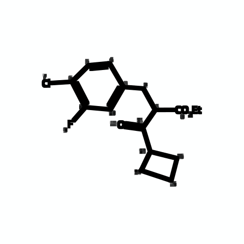 CCOC(=O)C(Cc1ccc(Cl)c(F)c1)C(=O)C1CCC1